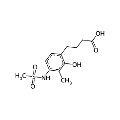 Cc1c(NS(C)(=O)=O)ccc(CCCC(=O)O)c1O